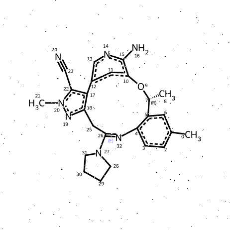 Cc1ccc2c(c1)[C@@H](C)Oc1cc(cnc1N)-c1c(nn(C)c1C#N)C/C(N1CCCC1)=N\2